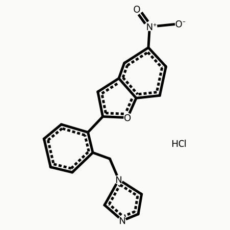 Cl.O=[N+]([O-])c1ccc2oc(-c3ccccc3Cn3ccnc3)cc2c1